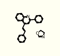 C(=Cc1cc(-c2ccccc2)nc2ccccc12)c1ccccc1.C1=NCCO1